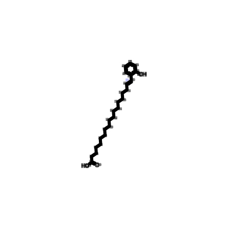 O=C(O)CCCCCCCCCCCCCCCC/C=C/c1ccccc1O